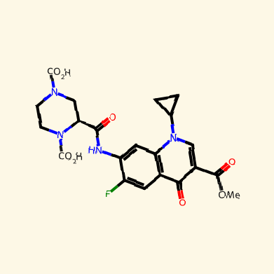 COC(=O)c1cn(C2CC2)c2cc(NC(=O)[C@@H]3CN(C(=O)O)CCN3C(=O)O)c(F)cc2c1=O